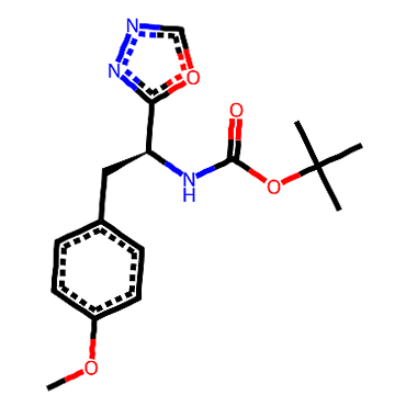 COc1ccc(C[C@H](NC(=O)OC(C)(C)C)c2nnco2)cc1